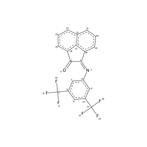 O=C1C(=Nc2cc(C(F)(F)F)cc(C(F)(F)F)c2)c2cccc3cccc1c23